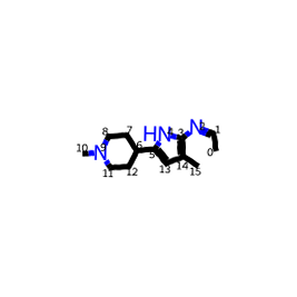 C/C=N\c1[nH]c(C2CCN(C)CC2)cc1C